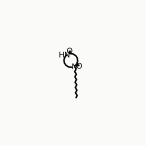 CCCCCCCCCCCCN1CCCCCCNC(=O)CCCCC1=O